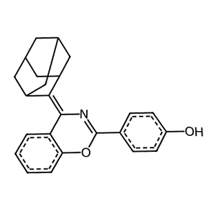 Oc1ccc(C2=NC(=C3C4CC5CC(C4)CC3C5)c3ccccc3O2)cc1